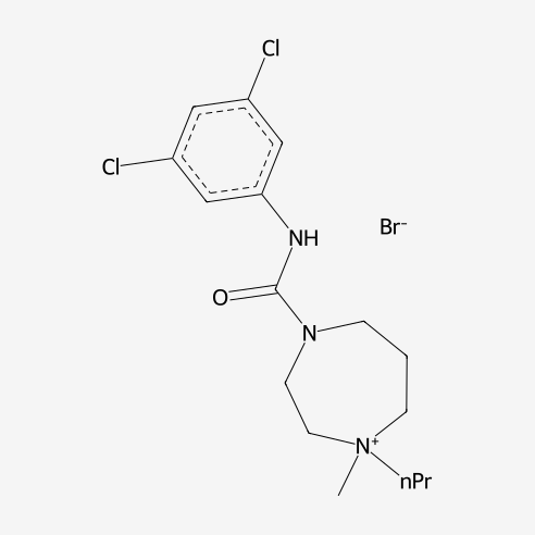 CCC[N+]1(C)CCCN(C(=O)Nc2cc(Cl)cc(Cl)c2)CC1.[Br-]